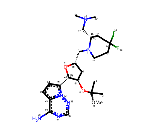 COC(C)(C)O[C@@H]1C[C@@H](CN2CCC(F)(F)C[C@H]2CN(C)C)O[C@H]1c1ccc2c(N)ncnn12